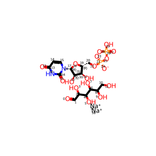 O=CC(O)C(O)C(O)C(O)CO.O=c1ccn([C@@H]2O[C@H](COP(=O)([O-])OP(=O)([O-])O)[C@@H](O)[C@H]2O)c(=O)[nH]1.[Na+].[Na+]